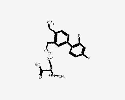 CCc1ccc(-c2ccc(F)cc2F)cc1CC.CN[C@@H](CS)C(=O)O